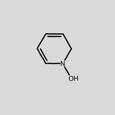 ON1C=CC=CC1